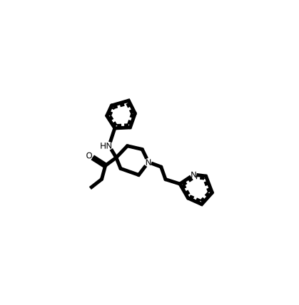 CCC(=O)C1(Nc2ccccc2)CCN(CCc2ccccn2)CC1